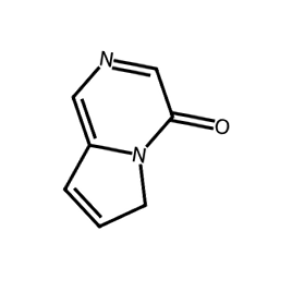 O=c1cncc2n1CC=C2